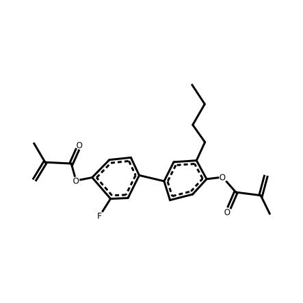 C=C(C)C(=O)Oc1ccc(-c2ccc(OC(=O)C(=C)C)c(CCCC)c2)cc1F